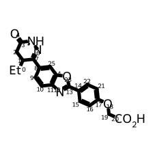 CCC1CC(=O)NN=C1c1ccc2nc(-c3ccc(OCC(=O)O)cc3)oc2c1